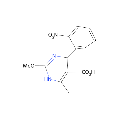 COC1=NC(c2ccccc2[N+](=O)[O-])C(C(=O)O)=C(C)N1